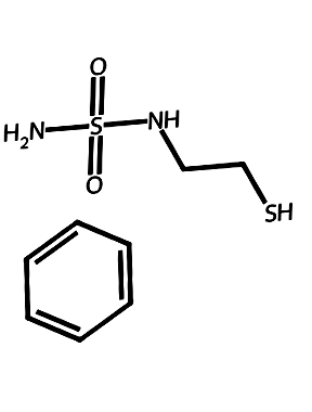 NS(=O)(=O)NCCS.c1ccccc1